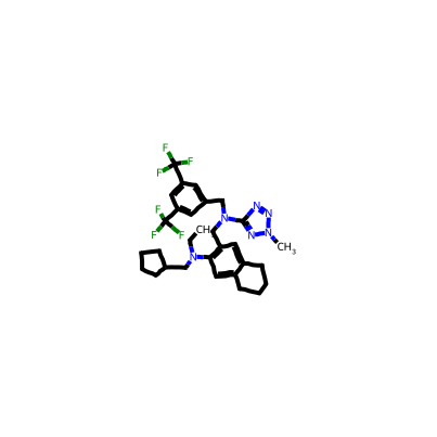 CCN(CC1CCCC1)c1cc2c(cc1CN(Cc1cc(C(F)(F)F)cc(C(F)(F)F)c1)c1nnn(C)n1)CCCC2